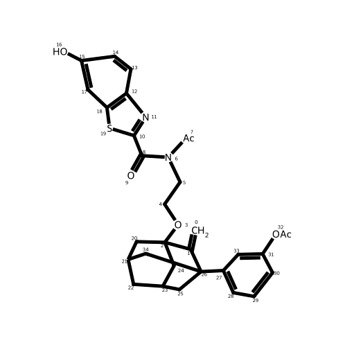 C=C1C2(OCCN(C(C)=O)C(=O)c3nc4ccc(O)cc4s3)CC3CC(C2)CC1(c1cccc(OC(C)=O)c1)C3